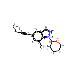 CCC#Cc1cc(C)c2c(cnn2C2CCCCO2)c1